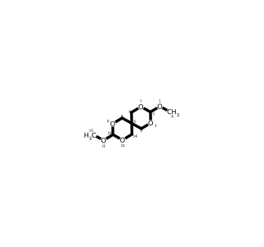 COC1OCC2(CO1)COC(OC)OC2